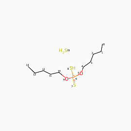 CCCCCOP(=S)(S)OCCCCC.S